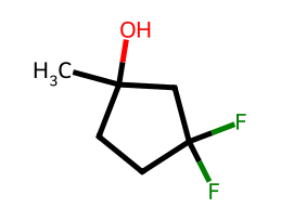 CC1(O)CCC(F)(F)C1